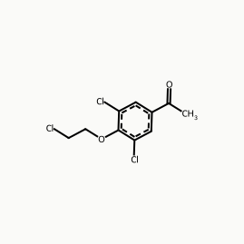 CC(=O)c1cc(Cl)c(OCCCl)c(Cl)c1